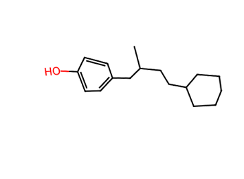 CC(CCC1CCCCC1)Cc1ccc(O)cc1